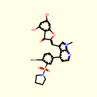 COc1ccc(-c2ccnc3c2c(C=C2Oc4cc(O)cc(O)c4C2=O)cn3C)cc1S(=O)(=O)N1CCCC1